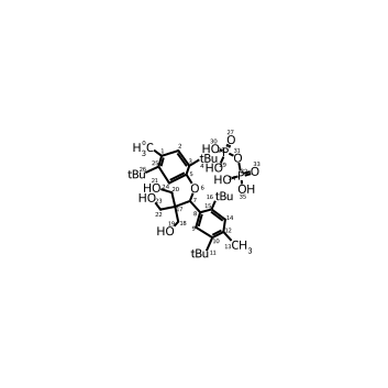 Cc1cc(C(C)(C)C)c(OC(c2cc(C(C)(C)C)c(C)cc2C(C)(C)C)C(CO)(CO)CO)cc1C(C)(C)C.O=P(O)(O)OP(=O)(O)O